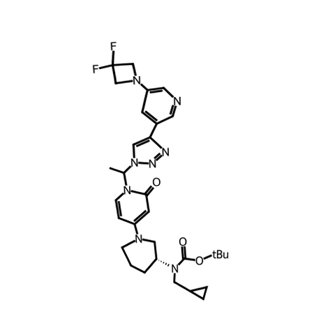 CC(n1cc(-c2cncc(N3CC(F)(F)C3)c2)nn1)n1ccc(N2CCC[C@@H](N(CC3CC3)C(=O)OC(C)(C)C)C2)cc1=O